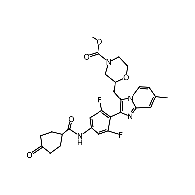 COC(=O)N1CCO[C@@H](Cc2c(-c3c(F)cc(NC(=O)C4CCC(=O)CC4)cc3F)nc3cc(C)ccn23)C1